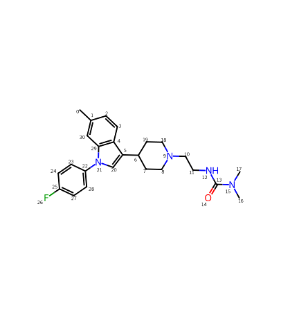 Cc1ccc2c(C3CCN(CCNC(=O)N(C)C)CC3)cn(-c3ccc(F)cc3)c2c1